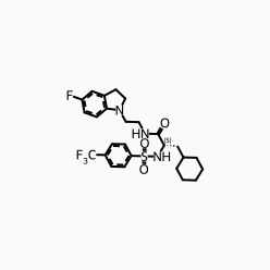 O=C(NCCN1CCc2cc(F)ccc21)[C@H](CC1CCCCC1)NS(=O)(=O)c1ccc(C(F)(F)F)cc1